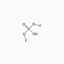 O=P(O)(OF)OF